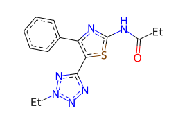 CCC(=O)Nc1nc(-c2ccccc2)c(-c2nnn(CC)n2)s1